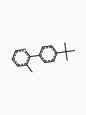 Cc1c[c]cnc1-c1ccc(C(C)(C)C)cc1